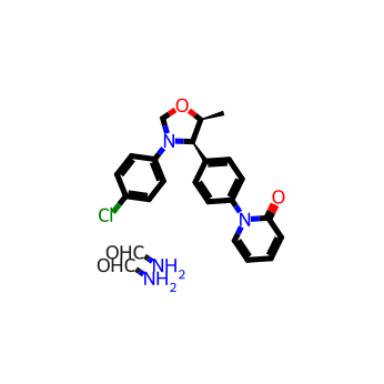 C[C@@H]1OCN(c2ccc(Cl)cc2)[C@@H]1c1ccc(-n2ccccc2=O)cc1.NC=O.NC=O